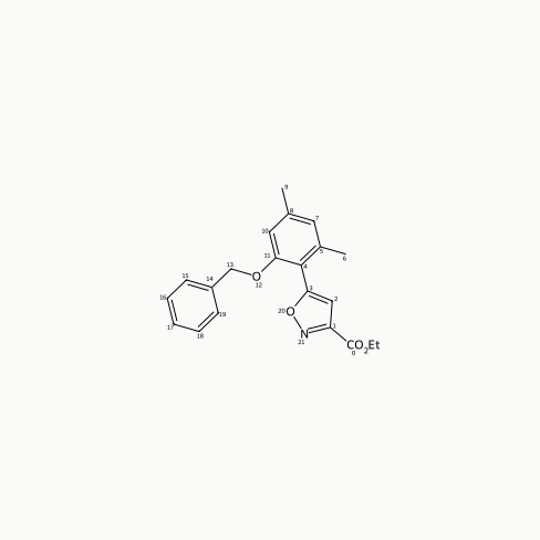 CCOC(=O)c1cc(-c2c(C)cc(C)cc2OCc2ccccc2)on1